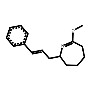 COC1=NC(CC=Cc2ccccc2)CCCC1